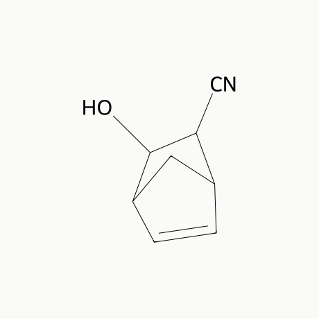 N#CC1C2C=CC(C2)C1O